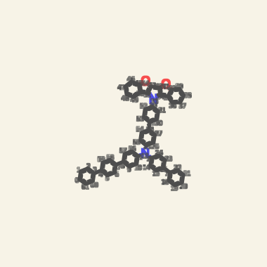 c1ccc(-c2ccc(-c3ccc(N(c4ccc(-c5ccccc5)cc4)c4ccc(-c5ccc(-n6c7c8ccccc8oc7c7oc8ccccc8c76)cc5)cc4)cc3)cc2)cc1